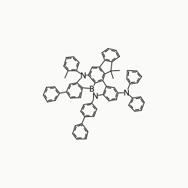 Cc1ccccc1N1c2cc(-c3ccccc3)ccc2B2c3c1cc1c(c3-c3cc(N(c4ccccc4)c4ccccc4)ccc3N2c2ccc(-c3ccccc3)cc2)C(C)(C)c2ccccc2-1